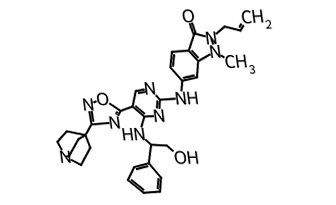 C=CCn1c(=O)c2ccc(Nc3ncc(-c4nc(C56CCN(CC5)CC6)no4)c(NC(CO)c4ccccc4)n3)cc2n1C